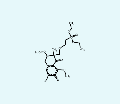 CCOP(=O)(CCOCC1(C)C(=O)c2c(OC)c(=O)c(Br)cn2CC1OC)OCC